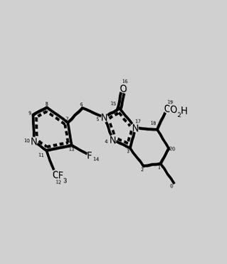 CC1Cc2nn(Cc3ccnc(C(F)(F)F)c3F)c(=O)n2C(C(=O)O)C1